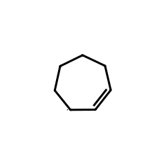 [CH]1C=CCCCC1